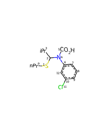 CCCSC(C(C)C)N(C(=O)O)c1cccc(Cl)c1